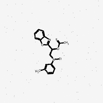 CCN(CC(OC(C)=S)c1nc2ccccc2o1)c1cccc(C)c1